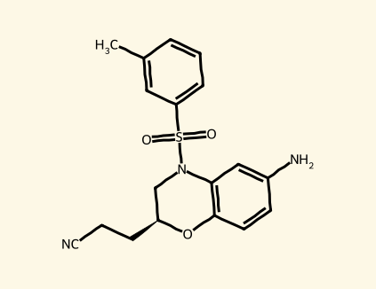 Cc1cccc(S(=O)(=O)N2C[C@H](CCC#N)Oc3ccc(N)cc32)c1